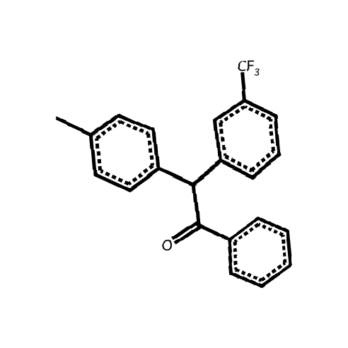 Cc1ccc(C(C(=O)c2ccccc2)c2cccc(C(F)(F)F)c2)cc1